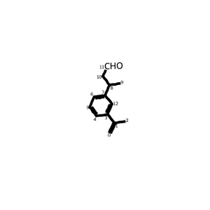 C=C(C)c1cccc(C(C)CC=O)c1